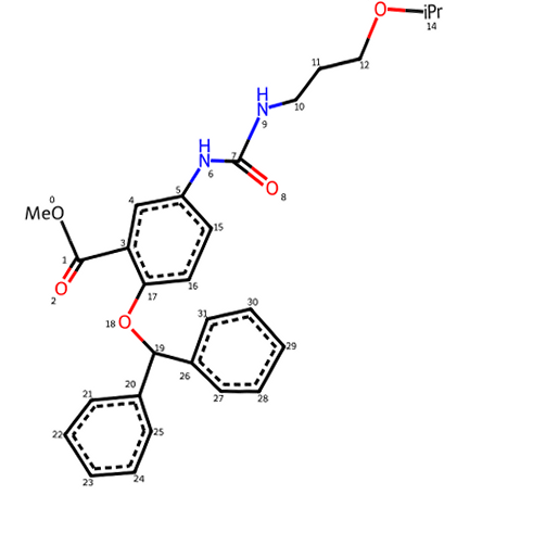 COC(=O)c1cc(NC(=O)NCCCOC(C)C)ccc1OC(c1ccccc1)c1ccccc1